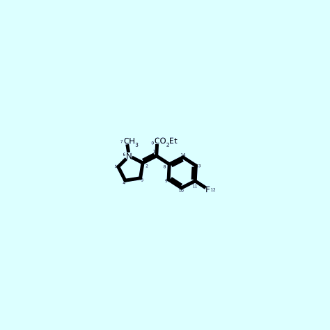 CCOC(=O)/C(=C1/CCCN1C)c1ccc(F)cc1